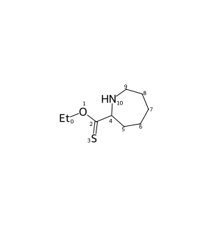 CCOC(=S)C1CCCCCN1